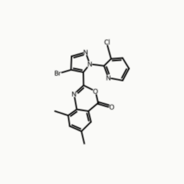 Cc1cc(C)c2nc(-c3c(Br)cnn3-c3ncccc3Cl)oc(=O)c2c1